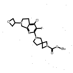 CC(C)(C)OC(=O)N1CC2(CCN(c3nc4c(c(Cl)c3F)CCN(C3COC3)C4)C2)C1